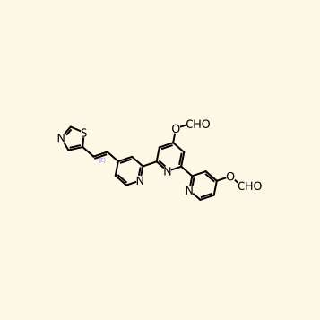 O=COc1ccnc(-c2cc(OC=O)cc(-c3cc(/C=C/c4cncs4)ccn3)n2)c1